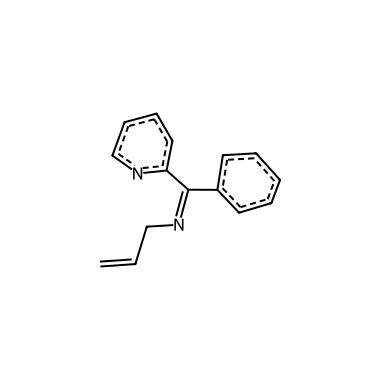 C=CCN=C(c1ccccc1)c1ccccn1